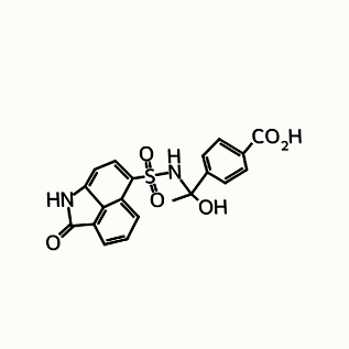 CC(O)(NS(=O)(=O)c1ccc2c3c(cccc13)C(=O)N2)c1ccc(C(=O)O)cc1